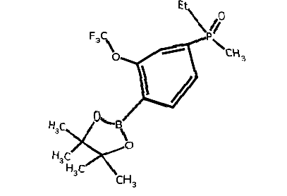 CCP(C)(=O)c1ccc(B2OC(C)(C)C(C)(C)O2)c(OC(F)(F)F)c1